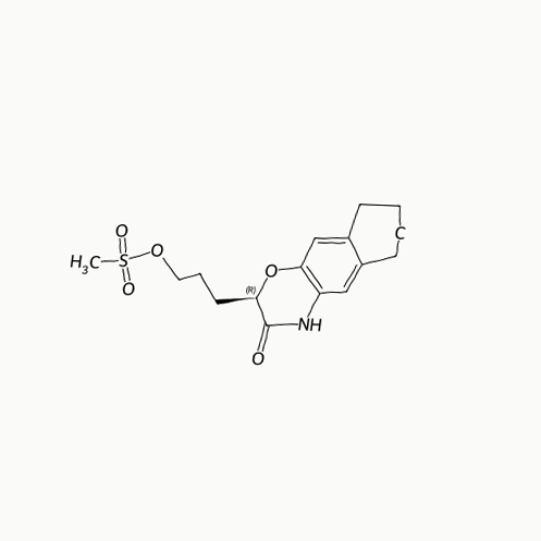 CS(=O)(=O)OCCC[C@H]1Oc2cc3c(cc2NC1=O)CCCC3